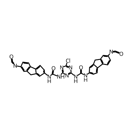 O=C=Nc1ccc2c(c1)Cc1cc(NC(=O)Nc3nc(Cl)nc(NC(=O)Nc4ccc5c(c4)Cc4cc(N=C=O)ccc4-5)n3)ccc1-2